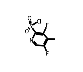 Cc1c(F)cnc(S(=O)(=O)Cl)c1F